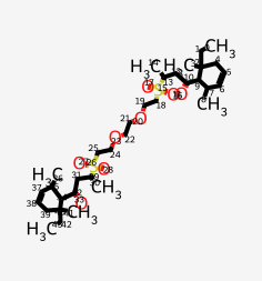 CCC1(C)CC=CC(C)C1C(=O)CC(C)S(=O)(=O)CCOCCOCCS(=O)(=O)C(C)CC(=O)C1C(C)C=CCC1(C)CC